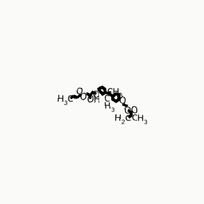 C=C(C)C(=O)OCCOc1ccc(C(C)(C)c2cccc(OCC(O)COC(=O)C=CC)c2)cc1